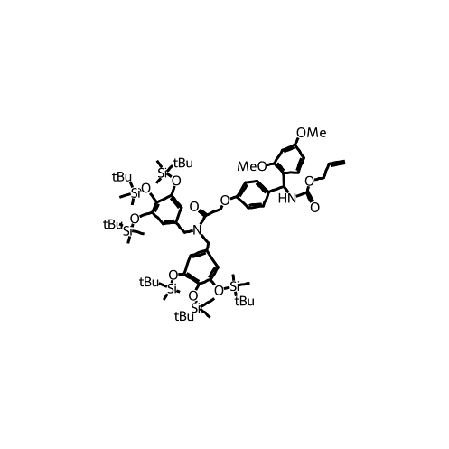 C=CCOC(=O)NC(c1ccc(OCC(=O)N(Cc2cc(O[Si](C)(C)C(C)(C)C)c(O[Si](C)(C)C(C)(C)C)c(O[Si](C)(C)C(C)(C)C)c2)Cc2cc(O[Si](C)(C)C(C)(C)C)c(O[Si](C)(C)C(C)(C)C)c(O[Si](C)(C)C(C)(C)C)c2)cc1)c1ccc(OC)cc1OC